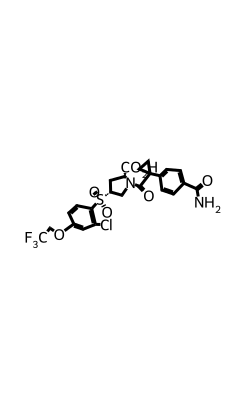 NC(=O)c1ccc(C2(C(=O)N3C[C@H](S(=O)(=O)c4ccc(OCC(F)(F)F)cc4Cl)C[C@H]3C(=O)O)CC2)cc1